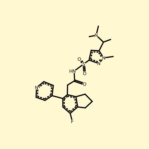 CC(c1cc(S(=O)(=O)NC(=O)Cc2c(-c3ccncc3)cc(F)c3c2CCC3)nn1C)N(C)C